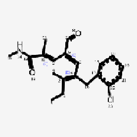 CC/C(C)=C(/C=C(C=O)\C=C(/C)C(=O)NC)Cc1ccccc1Cl